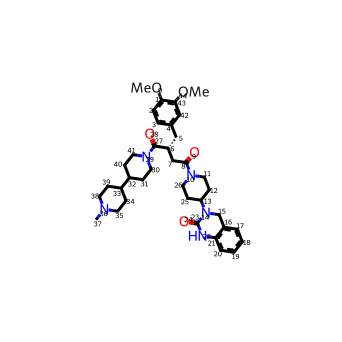 COc1ccc(C[C@H](CC(=O)N2CCC(N3Cc4ccccc4NC3=O)CC2)C(=O)N2CCC(C3CCN(C)CC3)CC2)cc1OC